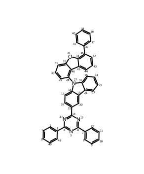 c1ccc(-c2nc(-c3ccccc3)nc(-c3ccc4c(c3)c3ccccc3n4-c3cccc4oc5c(-c6ccccc6)cccc5c34)n2)cc1